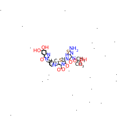 C[C@@H]1S[C@@H]2[C@H](NC(=O)/C(=N\OC(C)(C)C(=O)O)c3csc(N)n3)C(=O)N2C(C(=O)[O-])=C1C[N+]12CCC(Cn3cnc4cc(O)c(O)cc4c3=O)(CC1)CC2